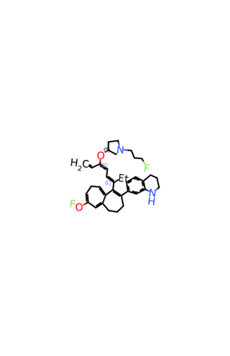 C=C/C(=C\C=C(/CC)C1=C(c2ccc3c(c2)NCCC3)CCCC2=CC(OF)=CCC=C21)O[C@H]1CCN(CCCF)C1